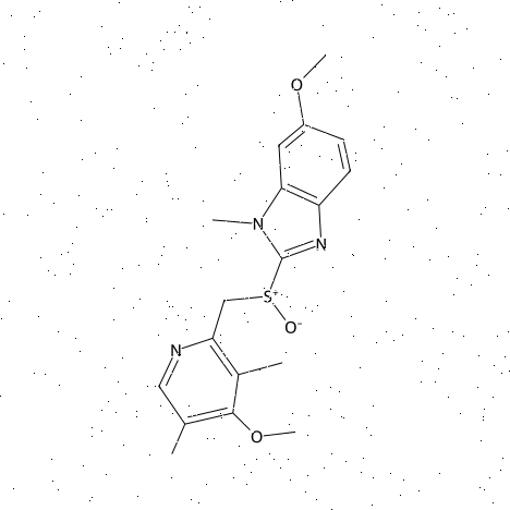 COc1ccc2nc([S+]([O-])Cc3ncc(C)c(OC)c3C)n(C)c2c1